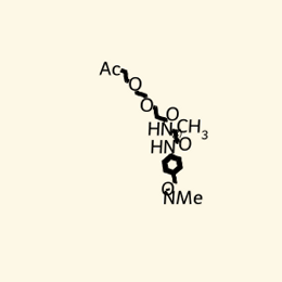 CNOCc1ccc(NC(=O)[C@@H](C)NC(=O)CCOCCOCCC(C)=O)cc1